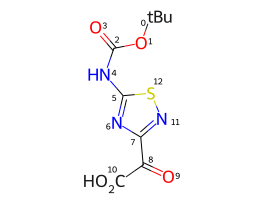 CC(C)(C)OC(=O)Nc1nc(C(=O)C(=O)O)ns1